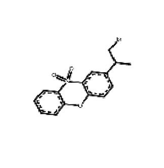 CC(CBr)c1ccc2c(c1)S(=O)(=O)c1ccccc1O2